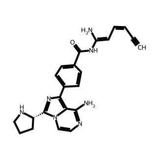 C#C/C=C\C=C(/N)NC(=O)c1ccc(-c2nc([C@@H]3CCCN3)n3ccnc(N)c23)cc1